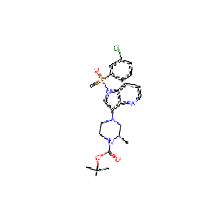 C=S(=O)(c1cccc(Cl)c1)n1cc(N2CCN(C(=O)OC(C)(C)C)[C@H](C)C2)c2ncccc21